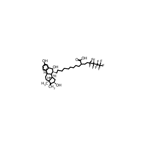 C=C1[C@H](O)C[C@H]2[C@@H]3[C@H](CCCCCCCCCC(CCC(F)(F)C(F)(F)C(F)(F)C(F)(F)F)C(=O)O)[C@H](O)c4cc(O)ccc4[C@H]3CC[C@]12C